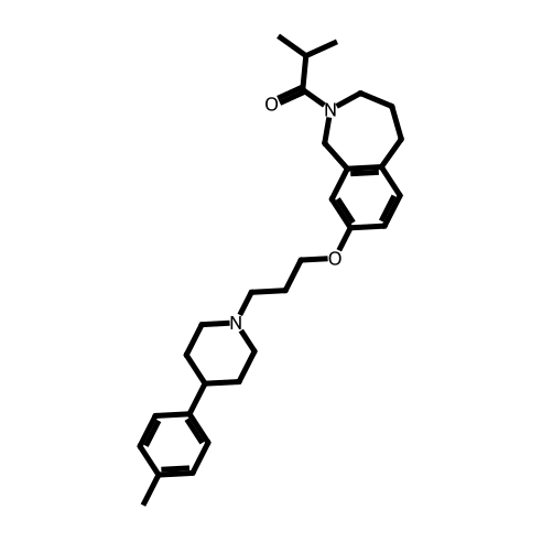 Cc1ccc(C2CCN(CCCOc3ccc4c(c3)CN(C(=O)C(C)C)CCC4)CC2)cc1